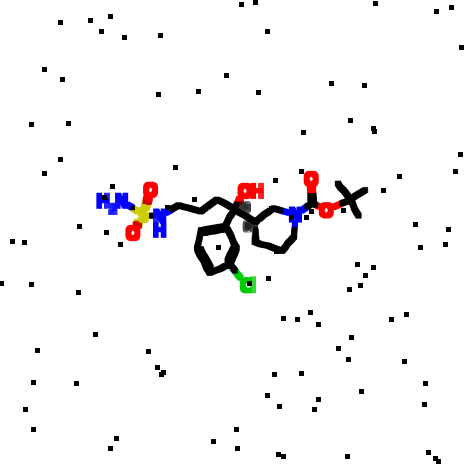 CC(C)(C)OC(=O)N1CCC[C@@H]([C@@](O)(CCCNS(N)(=O)=O)c2cccc(Cl)c2)C1